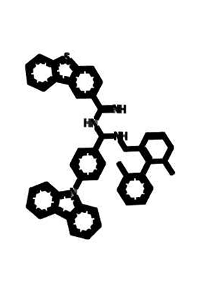 Cc1ccccc1C1=C(CNC(NC(=N)c2ccc3sc4ccccc4c3c2)c2ccc(-n3c4ccccc4c4ccccc43)cc2)C=CCC1C